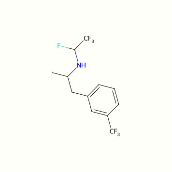 CC(Cc1cccc(C(F)(F)F)c1)NC(F)C(F)(F)F